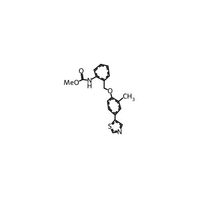 COC(=O)Nc1ccccc1COc1ccc(-c2cncs2)cc1C